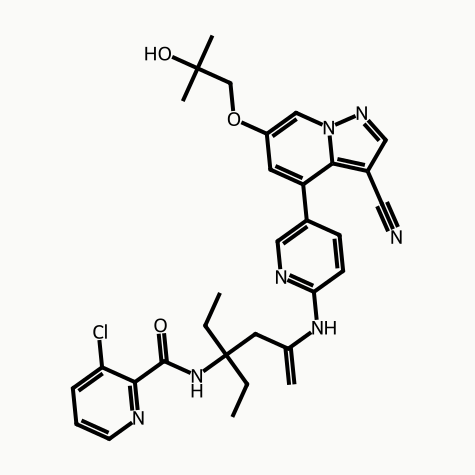 C=C(CC(CC)(CC)NC(=O)c1ncccc1Cl)Nc1ccc(-c2cc(OCC(C)(C)O)cn3ncc(C#N)c23)cn1